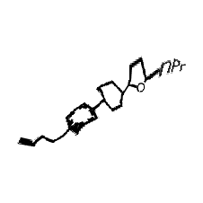 C=CCCc1ccc(C2CCC(C3CCC(CCC)O3)CC2)cc1